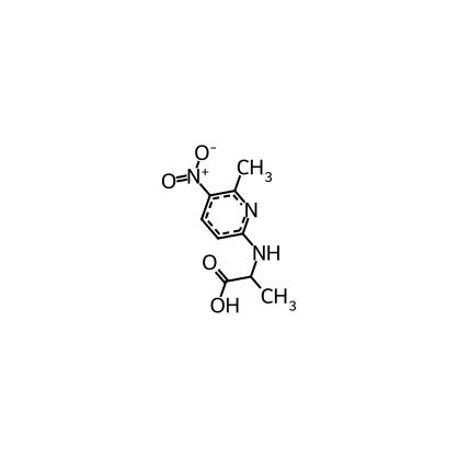 Cc1nc(NC(C)C(=O)O)ccc1[N+](=O)[O-]